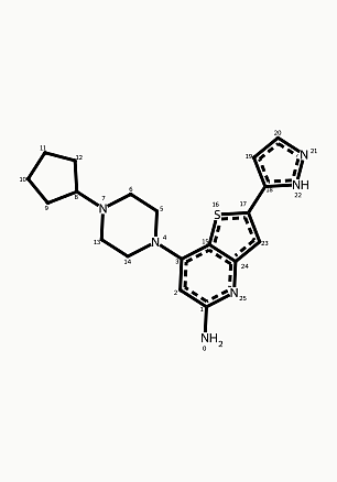 Nc1cc(N2CCN(C3CCCC3)CC2)c2sc(-c3ccn[nH]3)cc2n1